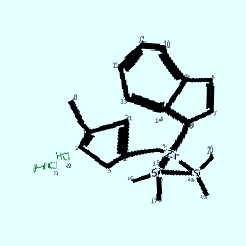 CC1=CC[C]([Zr]2([CH]3C=Cc4ccccc43)[Si](C)(C)[Si]2(C)C)=C1.Cl.Cl